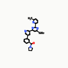 CNc1cc(-c2cncc(-c3cccc(C(=O)N4CCCC4)c3)c2)nc(-c2cccc(C)n2)n1